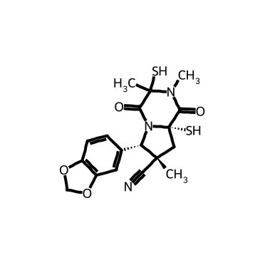 CN1C(=O)[C@@]2(S)C[C@](C)(C#N)[C@H](c3ccc4c(c3)OCO4)N2C(=O)C1(C)S